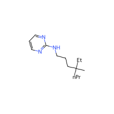 CCCC(C)(CC)CCCNc1ncccn1